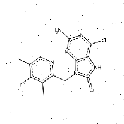 Cc1cnc(Cn2c(=O)[nH]c3c(Cl)nc(N)nc32)c(C)c1I